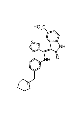 O=C1Nc2ccc(C(=O)O)cc2C1=C(Nc1cccc(CN2CCCCC2)c1)c1ccsc1